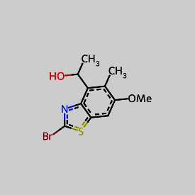 COc1cc2sc(Br)nc2c(C(C)O)c1C